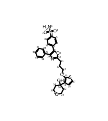 NS(=O)(=O)c1ccc(-c2oc(CCCOc3sccc3C3(O)CCOCC3)nc2-c2ccccc2)cc1